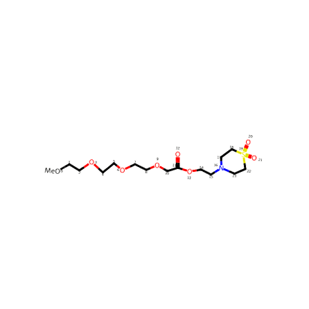 COCCOCCOCCOCC(=O)OCCN1CCS(=O)(=O)CC1